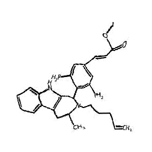 C=CCCCN1C(C)Cc2c([nH]c3ccccc23)C1c1c(P)cc(/C=C/C(=O)OI)cc1P